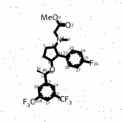 COC(=O)CN(C)C1CCC(O[C@H](C)c2cc(C(F)(F)F)cc(C(F)(F)F)c2)C1c1ccc(F)cc1